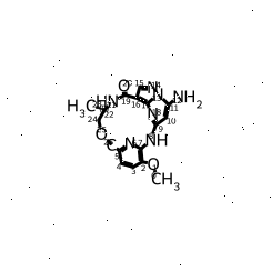 COc1ccc2nc1Nc1cc(N)n3ncc(c3n1)C(=O)N[C@H](C)COC2